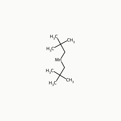 CC(C)(C)[CH2][Mn][CH2]C(C)(C)C